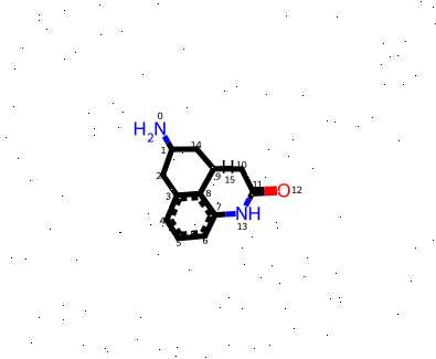 NC1Cc2cccc3c2[C@H](CC(=O)N3)C1